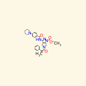 CCOC(=O)n1nc(NC(=O)c2ccc(N3CCCCC3)cc2)c2c1CN(C(=O)[C@H](C)c1ccccc1)C2